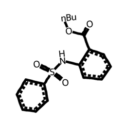 CCCCOC(=O)c1ccccc1NS(=O)(=O)c1ccccc1